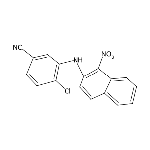 N#Cc1ccc(Cl)c(Nc2ccc3ccccc3c2[N+](=O)[O-])c1